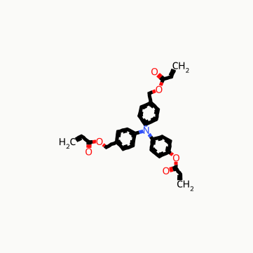 C=CC(=O)OCc1ccc(N(c2ccc(COC(=O)C=C)cc2)c2ccc(OC(=O)C=C)cc2)cc1